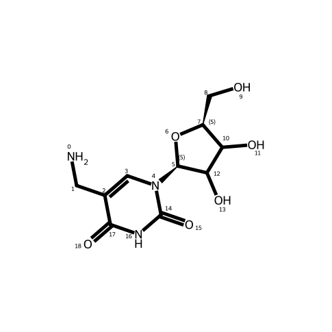 NCc1cn([C@H]2O[C@@H](CO)C(O)C2O)c(=O)[nH]c1=O